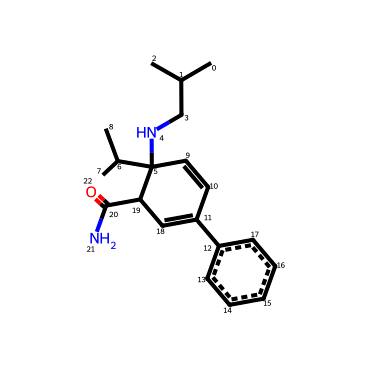 CC(C)CNC1(C(C)C)C=CC(c2ccccc2)=CC1C(N)=O